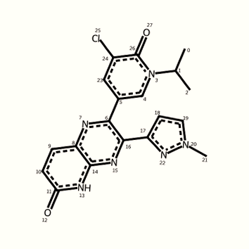 CC(C)n1cc(-c2nc3ccc(=O)[nH]c3nc2-c2ccn(C)n2)cc(Cl)c1=O